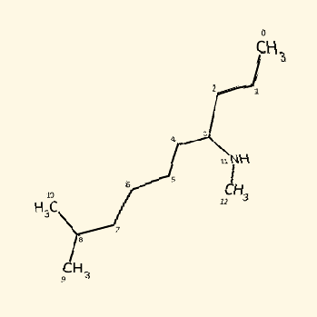 CCCC(CCCCC(C)C)NC